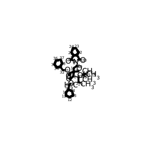 CC(C)C[C@@H](C(=O)OCc1ccccc1)C(CCN1C(=O)c2ccccc2C1=O)(C(=O)OCc1ccccc1)C(=O)OC(C)(C)C